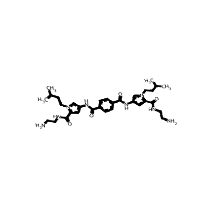 CC(C)CCn1cc(NC(=O)c2ccc(C(=O)Nc3cc(C(=O)NCCN)n(CCC(C)C)c3)cc2)cc1C(=O)NCCN